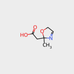 CC1(CC(=O)O)N=CCO1